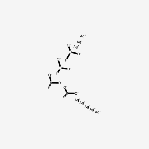 [Ag+].[Ag+].[Ag+].[Ag+].[Ag+].[Ag+].[Ag+].[Ag+].[O-]B([O-])F.[O-]B([O-])F.[O-]B([O-])F.[O-]B([O-])F